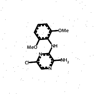 COc1cccc(OC)c1Nc1nc(Cl)cnc1N